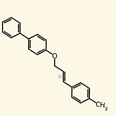 Cc1ccc(/C=C/COc2ccc(-c3ccccc3)cc2)cc1